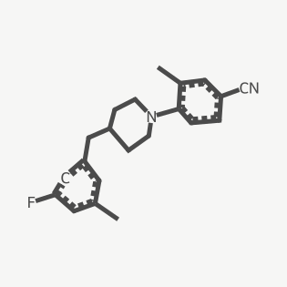 Cc1cc(F)cc(CC2CCN(c3ccc(C#N)cc3C)CC2)c1